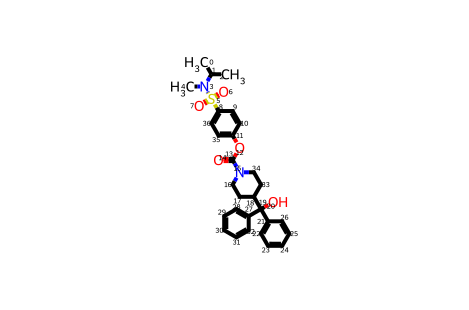 CC(C)N(C)S(=O)(=O)c1ccc(OC(=O)N2CCC(C(O)(c3ccccc3)c3ccccc3)CC2)cc1